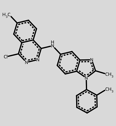 Cc1ccc2c(Nc3ccc4c(c3)nc(C)n4-c3ccccc3C)nnc(Cl)c2c1